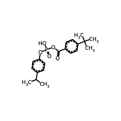 CC(C)c1ccc(OP(=O)(O)OC(=O)c2ccc(C(C)(C)C)cc2)cc1